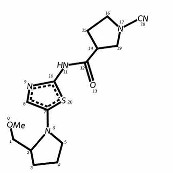 COCC1CCCN1c1cnc(NC(=O)C2CCN(C#N)C2)s1